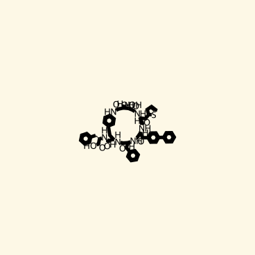 O=C(O)[C@H](Cc1ccccc1)NC(=O)[C@@H]1Cc2ccc(cc2)NC(=O)[C@H](O)[C@@H](O)C(=O)N[C@H](CC2CC=CS2)C(=O)N[C@@H](Cc2ccc(-c3ccccc3)cc2)C(=O)N[C@H](Cc2ccccc2)C(=O)N1